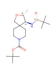 C[C@H]1OCC2(CCN(C(=O)OC(C)(C)C)CC2)[C@@H]1N[S@+]([O-])C(C)(C)C